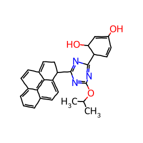 CC(C)Oc1nc(C2CC=c3ccc4cccc5ccc2c3c54)nc(C2C=CC(O)=CC2O)n1